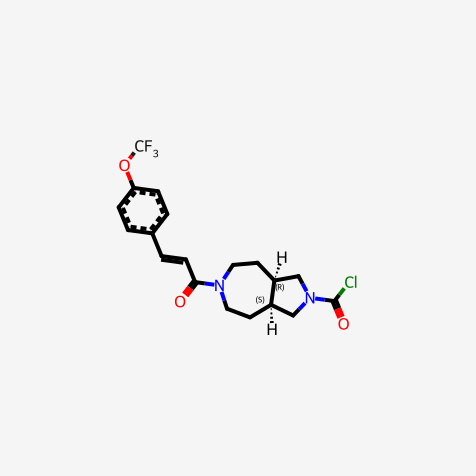 O=C(Cl)N1C[C@H]2CCN(C(=O)C=Cc3ccc(OC(F)(F)F)cc3)CC[C@H]2C1